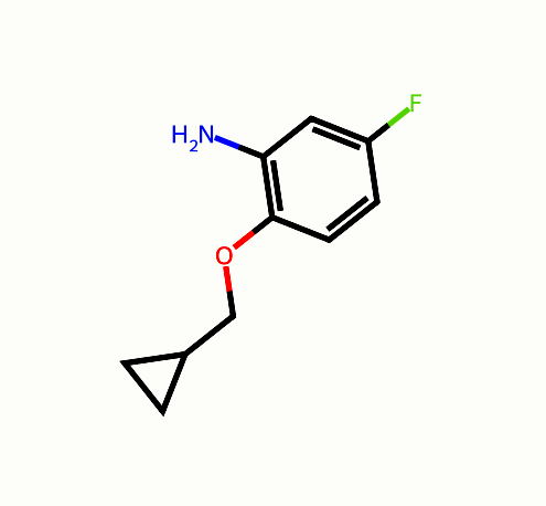 Nc1cc(F)ccc1OCC1CC1